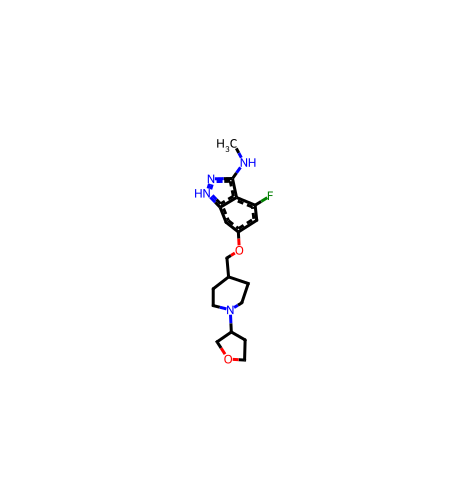 CNc1n[nH]c2cc(OCC3CCN(C4CCOC4)CC3)cc(F)c12